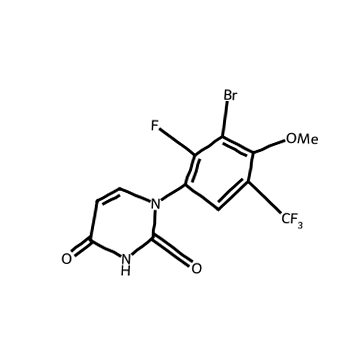 COc1c(C(F)(F)F)cc(-n2ccc(=O)[nH]c2=O)c(F)c1Br